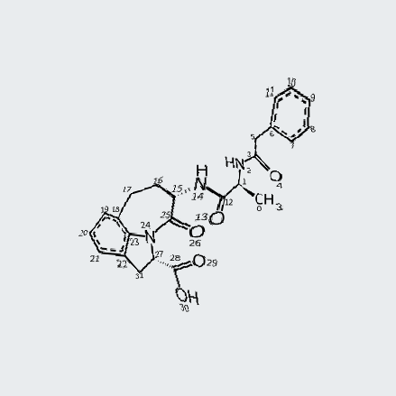 C[C@H](NC(=O)Cc1ccccc1)C(=O)N[C@H]1CCc2cccc3c2N(C1=O)[C@H](C(=O)O)C3